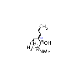 C=C/C=C(\C=C)[C@@H](O)[C@@H](C)NC